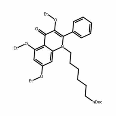 CCCCCCCCCCCCCCCCn1c(-c2ccccc2)c(OCC)c(=O)c2c(OCC)cc(OCC)cc21